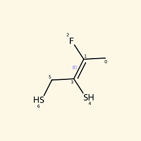 C/C(F)=C(\S)CS